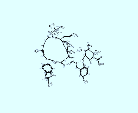 C=CC[C@H]1C(=O)C(C)(C)[C@@H](OC(=O)OCc2cc([N+](=O)[O-])ccc2O[C@@H]2O[C@H](C(=O)OC)[C@@H](OC(C)=O)[C@H](OC(C)=O)[C@H]2OC(C)=O)CC(=O)O[C@H](c2ccc3sc(C)nc3c2)CC=C(C)CCC[C@H](C)[C@@H]1O[Si](C)(C)C(C)(C)C